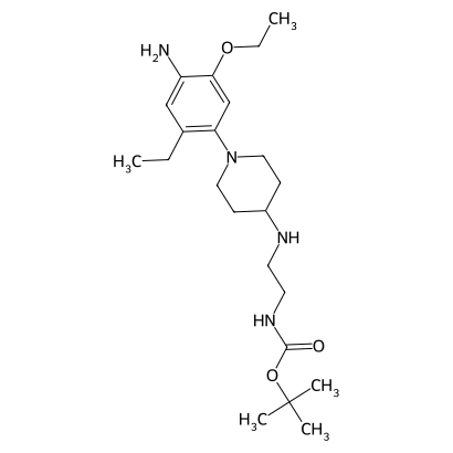 CCOc1cc(N2CCC(NCCNC(=O)OC(C)(C)C)CC2)c(CC)cc1N